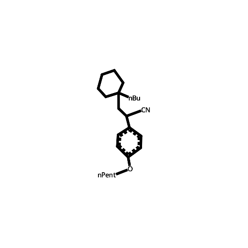 CCCCCOc1ccc(C(C#N)CC2(CCCC)CCCCC2)cc1